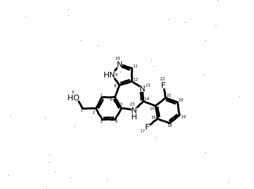 OCc1ccc2c(c1)-c1[nH]ncc1N=C(c1c(F)cccc1F)N2